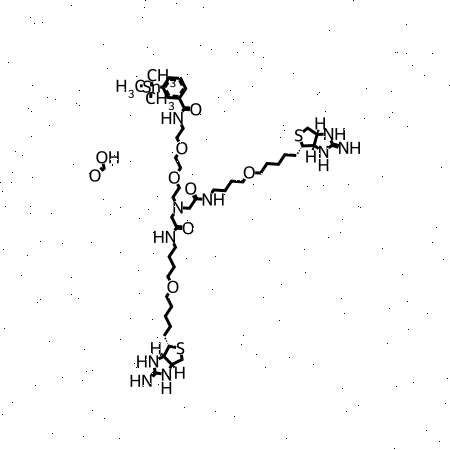 O=CO.[CH3][Sn]([CH3])([CH3])[c]1cccc(C(=O)NCCOCCOCCN(CC(=O)NCCCCOCCCCC[C@@H]2SC[C@@H]3NC(=N)N[C@@H]32)CC(=O)NCCCCOCCCCC[C@@H]2SC[C@@H]3NC(=N)N[C@@H]32)c1